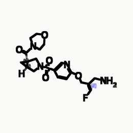 NC/C(=C/F)COc1ccc(S(=O)(=O)N2C[C@H]3C[C@@]3(C(=O)N3CCOCC3)C2)cn1